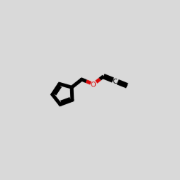 C=C=COCC1C=CC=C1